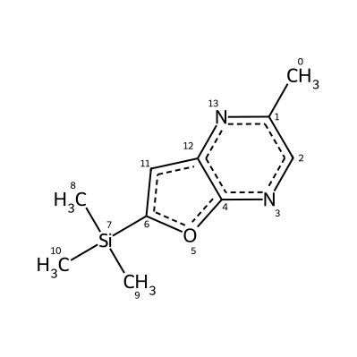 Cc1cnc2oc([Si](C)(C)C)cc2n1